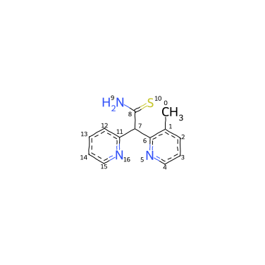 Cc1cccnc1C(C(N)=S)c1ccccn1